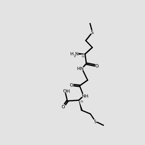 CSCC[C@H](NC(=O)CNC(=O)[C@@H](N)CCSC)C(=O)O